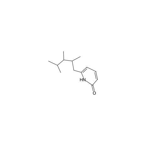 CC(C)C(C)C(C)Cc1cccc(=O)[nH]1